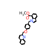 COC(=O)c1cccc2ccn(Cc3ccc(OCc4ccc5ccccc5n4)cc3)c12